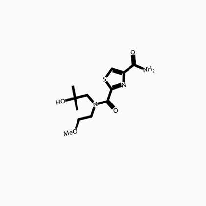 COCCN(CC(C)(C)O)C(=O)c1nc(C(N)=O)cs1